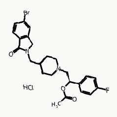 CC(=O)O[C@@H](CN1CCC(CN2Cc3cc(Br)ccc3C2=O)CC1)c1ccc(F)cc1.Cl